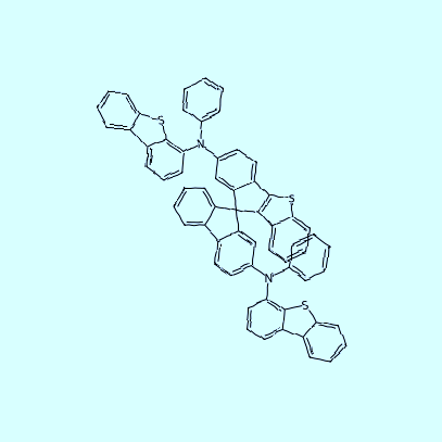 c1ccc(N(c2ccc3c(c2)C2(c4ccccc4-3)c3cc(N(c4ccccc4)c4cccc5c4sc4ccccc45)ccc3-c3sc4ccccc4c32)c2cccc3c2sc2ccccc23)cc1